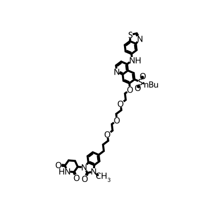 CCCCS(=O)(=O)c1cc2c(Nc3ccc4scnc4c3)ccnc2cc1OCCOCCOCCOCCCc1ccc2c(c1)n(C)c(=O)n2C1CCC(=O)NC1=O